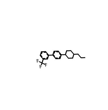 CCCC1CCC(c2ccc(-c3cccc(C(F)(F)F)c3)cc2)CC1